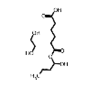 CCCC(O)OC(=O)CCCCC(=O)O.OCCO